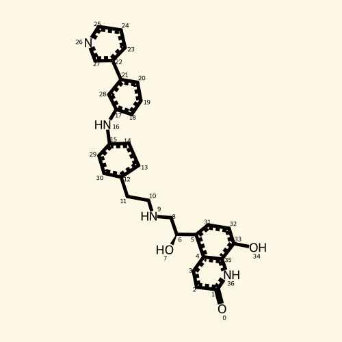 O=c1ccc2c([C@@H](O)CNCCc3ccc(Nc4cccc(-c5cccnc5)c4)cc3)ccc(O)c2[nH]1